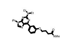 CCN(CC)c1nc(-c2cccc(OCCCC(=O)NC)c2)c2ncn(C(C)C)c2n1